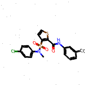 CN(c1ccc(Cl)cc1)S(=O)(=O)c1ccsc1C(=O)Nc1cccc(C(=O)O)c1